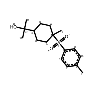 Cc1ccc(S(=O)(=O)C2(C)CCC(C(C)(C)O)CC2)cc1